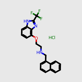 Cl.FC(F)(F)c1nc2c(OCCNCc3cccc4ccccc34)cccc2[nH]1